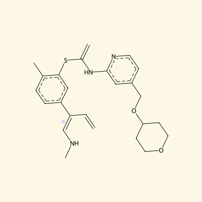 C=C/C(=C\NC)c1ccc(C)c(SC(=C)Nc2cc(COC3CCOCC3)ccn2)c1